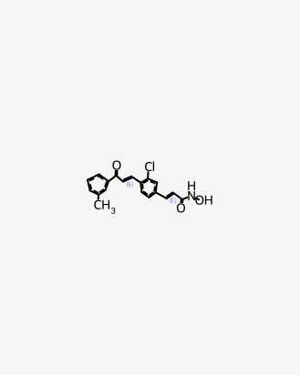 Cc1cccc(C(=O)/C=C/c2ccc(/C=C/C(=O)NO)cc2Cl)c1